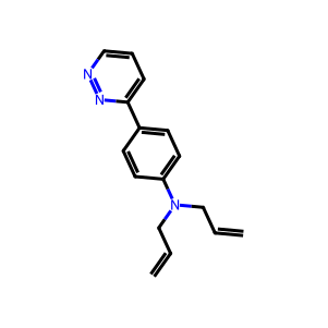 C=CCN(CC=C)c1ccc(-c2cccnn2)cc1